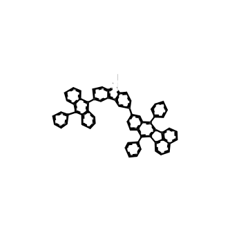 c1ccc(-c2c3c(c(-c4ccccc4)c4cc(-c5ccc6[nH]c7ccc(-c8c9ccccc9c(-c9ccccc9)c9ccccc89)cc7c6c5)ccc24)-c2cccc4cccc-3c24)cc1